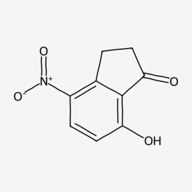 O=C1CCc2c([N+](=O)[O-])ccc(O)c21